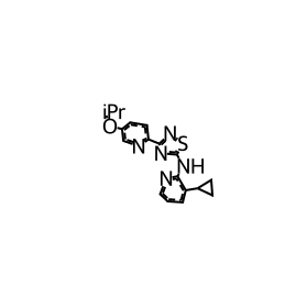 CC(C)Oc1ccc(-c2nsc(Nc3ncccc3C3CC3)n2)nc1